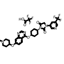 CN1CCC(Oc2ccc3c(O[C@H]4CC[C@H](N5C(=O)CN(c6cncc(C(F)(F)F)c6)C5=O)CC4)ncnc3c2)CC1.O=C(O)C(F)(F)F